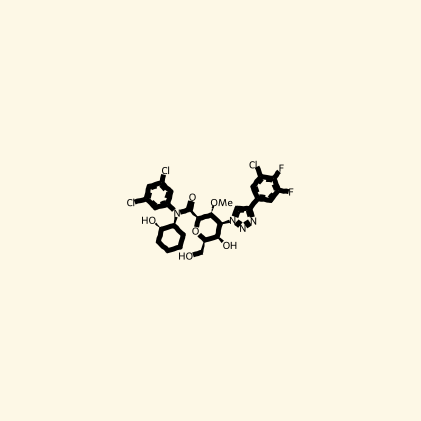 CO[C@@H]1[C@@H](n2cc(-c3cc(F)c(F)c(Cl)c3)nn2)[C@@H](O)[C@@H](CO)O[C@H]1C(=O)N(c1cc(Cl)cc(Cl)c1)[C@H]1CCCC[C@@H]1O